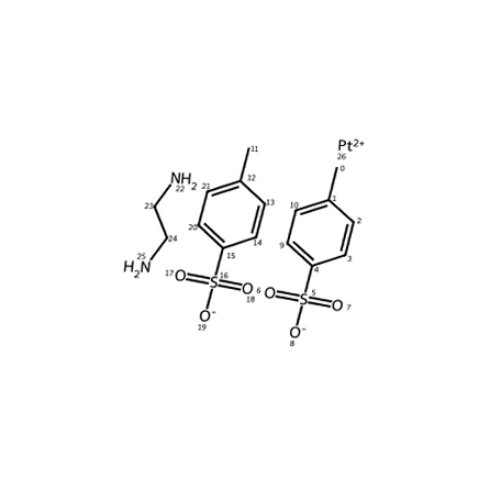 Cc1ccc(S(=O)(=O)[O-])cc1.Cc1ccc(S(=O)(=O)[O-])cc1.NCCN.[Pt+2]